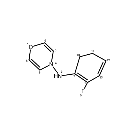 FC1=C(NN2C=COC=C2)CCC=C1